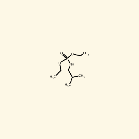 CCOP(=O)(NCC(C)C)OCC